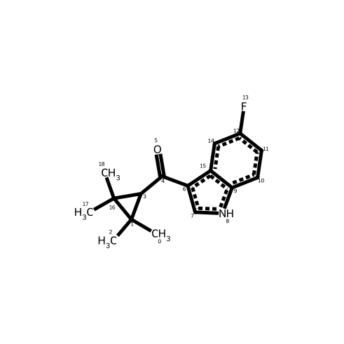 CC1(C)C(C(=O)c2c[nH]c3ccc(F)cc23)C1(C)C